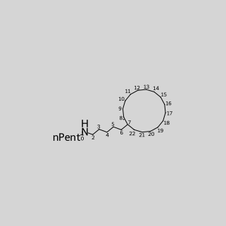 CCCCCNCCCCCC1[CH]CCCCCCCCCCCCCC1